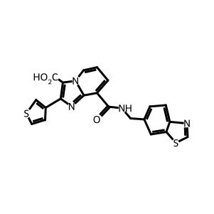 O=C(NCc1ccc2ncsc2c1)c1cccn2c(C(=O)O)c(-c3ccsc3)nc12